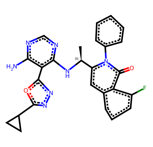 C[C@H](Nc1ncnc(N)c1-c1nnc(C2CC2)o1)c1cc2cccc(F)c2c(=O)n1-c1ccccc1